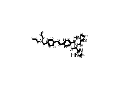 CCCN(CCC)Cc1ccc(/C=C/c2ccc(CN(Cc3ncc[nH]3)C(C)c3ncc[nH]3)cc2)cc1